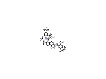 CCS(=O)(=O)c1ccc(/N=N/c2c(NCC(C)=O)ccc3c(O)c(/N=N/c4cc(OC)c(S(=O)(=O)CC)cc4O)ccc23)c(S(=O)(=O)O)c1